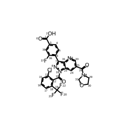 O=C(O)c1ccc(-c2nn(C(=O)c3c(Cl)cccc3C(F)(F)F)c3cc(C(=O)N4CCOC4)cnc23)c(F)c1